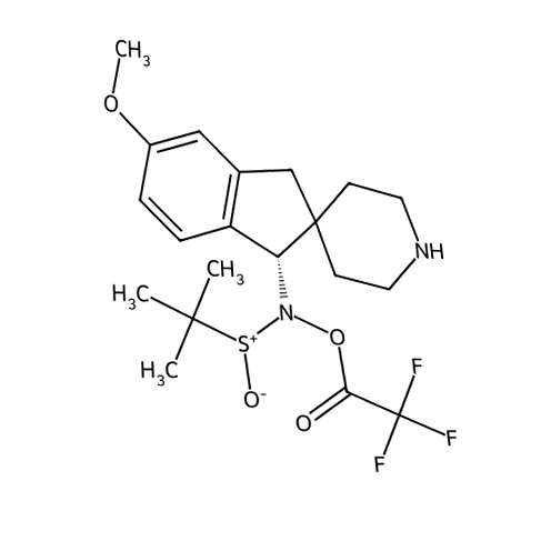 COc1ccc2c(c1)CC1(CCNCC1)[C@@H]2N(OC(=O)C(F)(F)F)[S+]([O-])C(C)(C)C